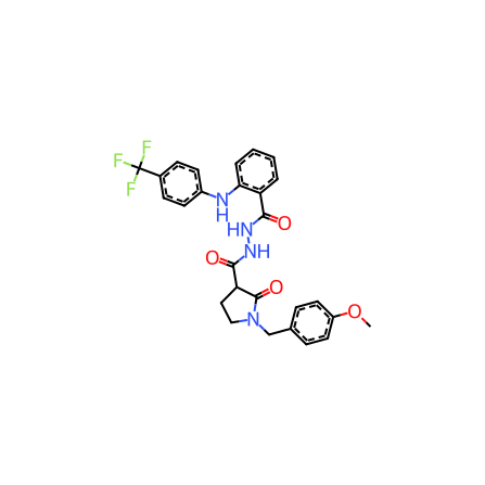 COc1ccc(CN2CCC(C(=O)NNC(=O)c3ccccc3Nc3ccc(C(F)(F)F)cc3)C2=O)cc1